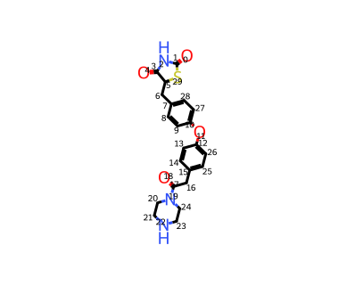 O=C1NC(=O)C(Cc2ccc(Oc3ccc(CC(=O)N4CCNCC4)cc3)cc2)S1